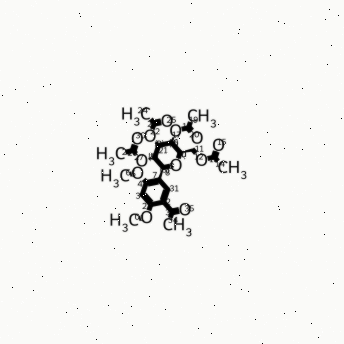 COc1cc(OC)c([C@@H]2O[C@H](COC(C)=O)[C@@H](OC(C)=O)[C@H](OC(C)=O)[C@H]2OC(C)=O)cc1C(C)=O